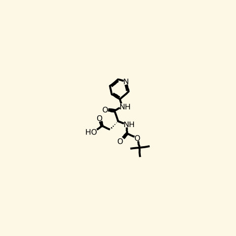 CC(C)(C)OC(=O)N[C@H](CC(=O)O)C(=O)Nc1cccnc1